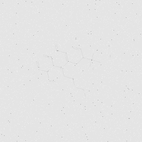 CCOC(=O)Cn1c2cc(C(C)(C)CC)ccc2c(=O)c2ccc(Cl)c(N(C)C)c21